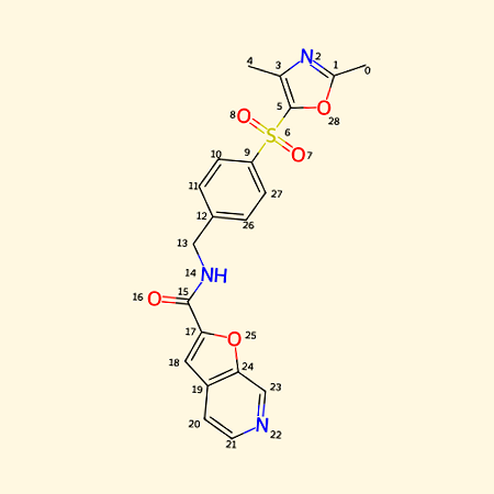 Cc1nc(C)c(S(=O)(=O)c2ccc(CNC(=O)c3cc4ccncc4o3)cc2)o1